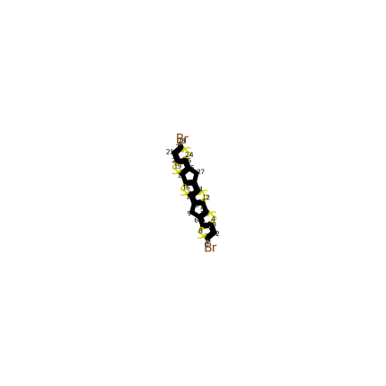 Brc1cc2sc3c(c2s1)Cc1c-3sc2c3c(sc12)-c1sc2cc(Br)sc2c1C3